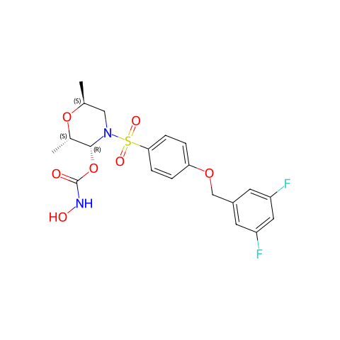 C[C@@H]1O[C@@H](C)CN(S(=O)(=O)c2ccc(OCc3cc(F)cc(F)c3)cc2)[C@@H]1OC(=O)NO